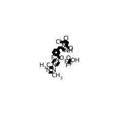 Cc1cnc(C)c(N2CCN(C(=O)c3cc(Cc4c[nH]c(=O)c5cc(Cl)c(Cl)n45)ccc3F)CC2)n1.O=C(O)C(F)(F)F